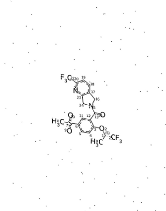 C[C@H](Oc1ccc(S(C)(=O)=O)cc1C(=O)N1Cc2ccc(C(F)(F)F)nc2C1)C(F)(F)F